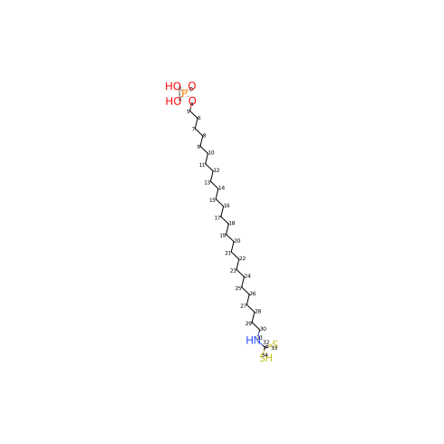 O=P(O)(O)OCCCCCCCCCCCCCCCCCCCCCCCCCCNC(=S)S